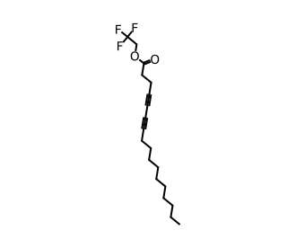 CCCCCCCCCCC#CC#CCCC(=O)OCC(F)(F)F